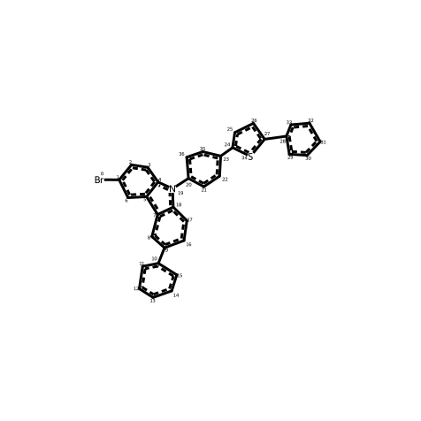 Brc1ccc2c(c1)c1cc(-c3ccccc3)ccc1n2-c1ccc(-c2ccc(-c3ccccc3)s2)cc1